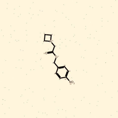 O=C(CN1CCC1)OCc1ccc([N+](=O)[O-])cc1